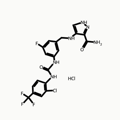 Cl.NC(=O)c1n[nH]cc1NCc1cc(F)cc(NC(=O)Nc2ccc(C(F)(F)F)cc2Cl)c1